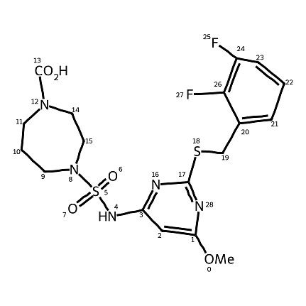 COc1cc(NS(=O)(=O)N2CCCN(C(=O)O)CC2)nc(SCc2cccc(F)c2F)n1